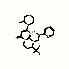 CC1COCCN1c1cc(=O)n2c(n1)N(CC(O)c1ccccn1)C(C(F)(F)F)CC2